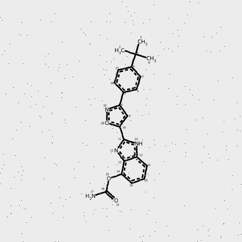 CC(C)(C)c1ccc(-c2cc(-c3nc4c(OC(N)=O)cccc4[nH]3)on2)cc1